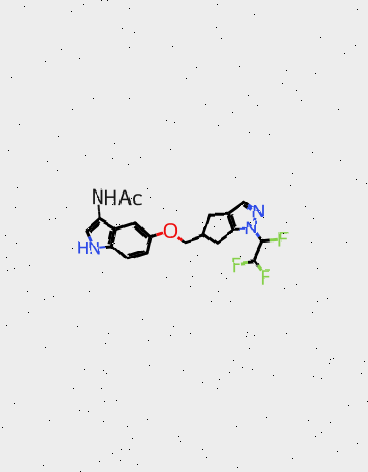 CC(=O)Nc1c[nH]c2ccc(OCC3Cc4cnn(C(F)C(F)F)c4C3)cc12